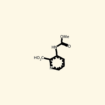 COC(=O)Nc1cccnc1C(=O)O